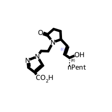 CCCCC[C@@H](O)/C=C/C1CCC(=O)N1CCn1cc(C(=O)O)cn1